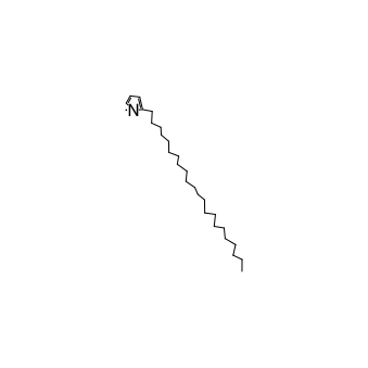 CCCCCCCCCCCCCCCCCCCCCCC1=CC=C[N]1